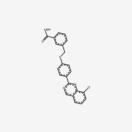 COC(=O)c1cccc(COc2ccc(-c3ncc4cccc(Cl)c4n3)cc2)c1